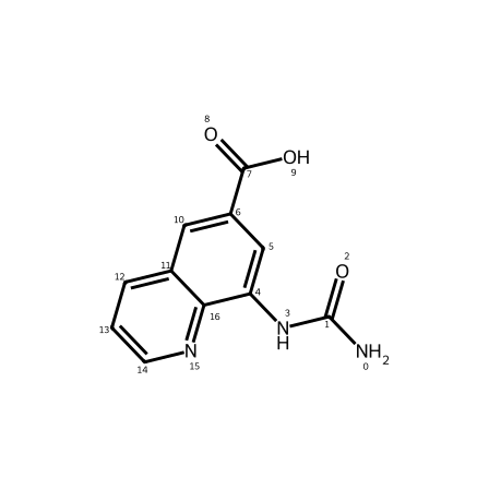 NC(=O)Nc1cc(C(=O)O)cc2cccnc12